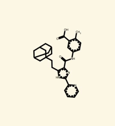 Cc1ccc(NC(=O)c2nc(-c3ccccn3)[nH]c2CCC23CC4CC(CC(C4)C2)C3)cc1C(=O)O